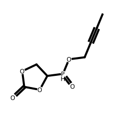 CC#CCO[PH](=O)C1COC(=O)O1